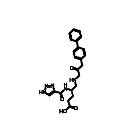 O=C(O)CC[C@H](CNCC(=O)Cc1ccc(-c2ccccc2)cc1)NC(=O)c1c[nH]nn1